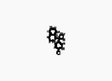 Clc1ccc(C2(C3=NCCc4ccccc43)CCC2)cc1